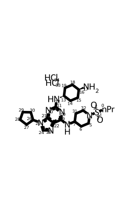 CCCS(=O)(=O)N1CCC(Nc2nc(N[C@H]3CC[C@H](N)CC3)nc3c2ncn3C2CCCC2)CC1.Cl.Cl